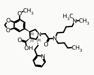 CCCCN(CCCCN(C)C)C(=O)CN1C[C@H](c2cc(OC)c3c(c2)OCO3)[C@H](C(=O)O)[C@H]1CCc1ccccn1